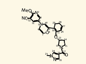 COc1ncc(N2C=COC(C3=C(O[C@H]4CCN(C(=O)c5cnn(C)c5)C4)C=CCC3)=C2)cc1C#N